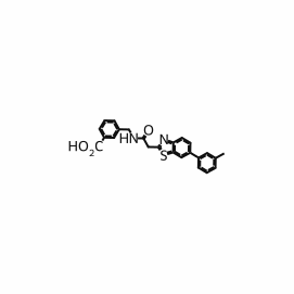 Cc1cccc(-c2ccc3nc(CC(=O)NCc4cccc(C(=O)O)c4)sc3c2)c1